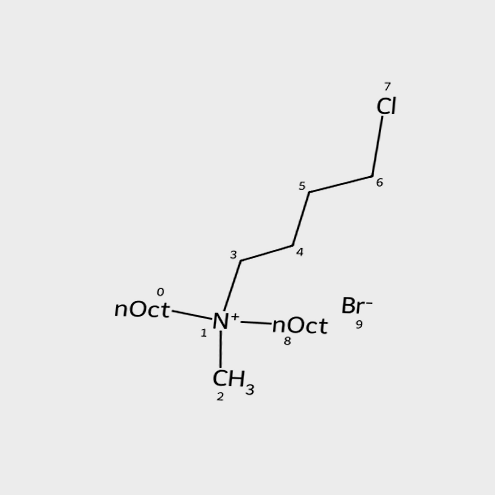 CCCCCCCC[N+](C)(CCCCCl)CCCCCCCC.[Br-]